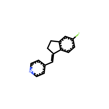 Fc1ccc2c(c1)CCC2=Cc1ccncc1